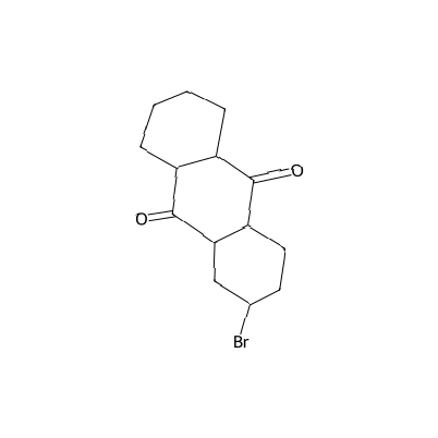 O=C1C2CCCCC2C(=O)C2CC(Br)CCC12